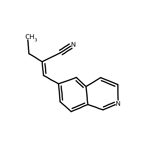 CCC(C#N)=Cc1ccc2cnccc2c1